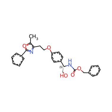 Cc1oc(-c2ccccc2)nc1CCOc1ccc([C@@H](CO)NC(=O)OCc2ccccc2)cc1